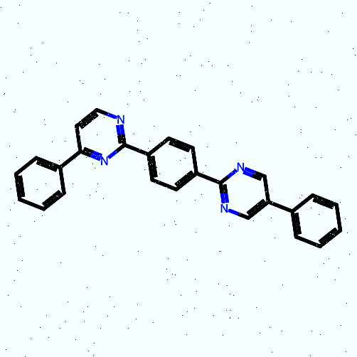 c1ccc(-c2cnc(-c3ccc(-c4nccc(-c5ccccc5)n4)cc3)nc2)cc1